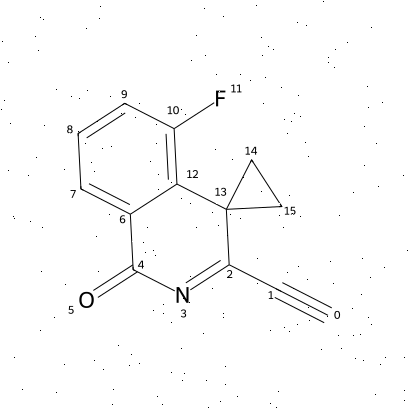 C#CC1=NC(=O)c2cccc(F)c2C12CC2